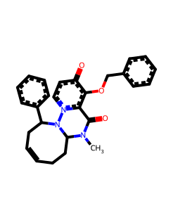 CN1C(=O)c2c(OCc3ccccc3)c(=O)ccn2N2C(c3ccccc3)C/C=C\CCC12